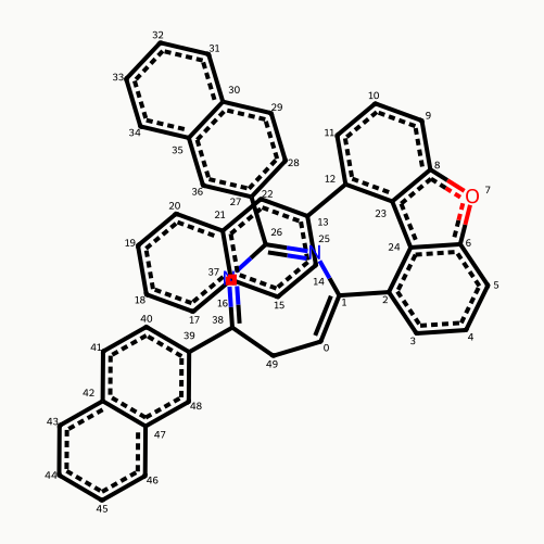 C1=C(c2cccc3oc4cccc(-c5ccc6ccccc6c5)c4c23)N=C(c2ccc3ccccc3c2)N=C(c2ccc3ccccc3c2)C1